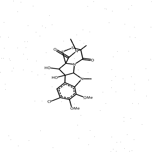 COc1c(Cl)cc2c(c1OC)N(C)C1N3C(=O)C4(C)SSC3(C(=O)N4C)C(O)C21O